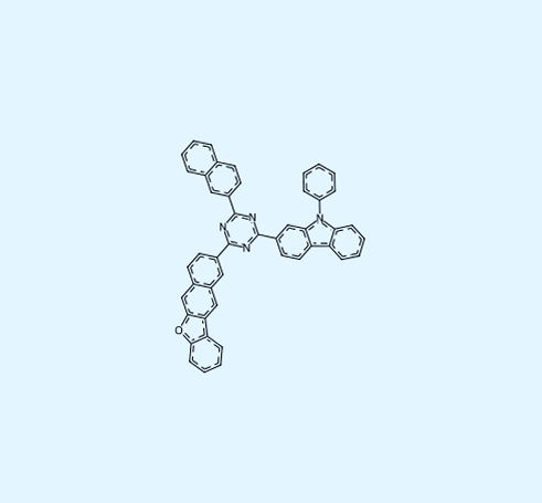 c1ccc(-n2c3ccccc3c3ccc(-c4nc(-c5ccc6ccccc6c5)nc(-c5ccc6cc7oc8ccccc8c7cc6c5)n4)cc32)cc1